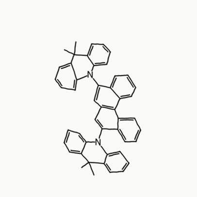 CC1(C)c2ccccc2N(c2cc3cc(N4c5ccccc5C(C)(C)c5ccccc54)c4ccccc4c3c3ccccc23)c2ccccc21